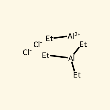 C[CH2][Al+2].C[CH2][Al]([CH2]C)[CH2]C.[Cl-].[Cl-]